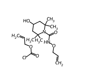 C=CCOC(=O)Cl.C=CCONC(=O)N1C(C)(C)CC(O)CC1(C)C